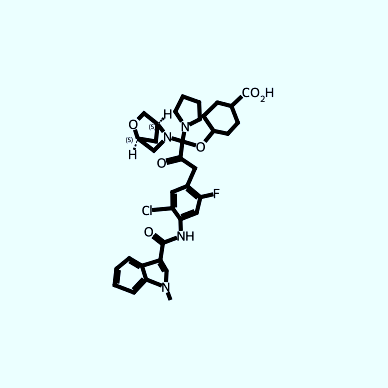 Cn1cc(C(=O)Nc2cc(F)c(CC(=O)C(OC3CCC(C(=O)O)CC3)(N3CCCC3)N3C[C@@H]4C[C@H]3CO4)cc2Cl)c2ccccc21